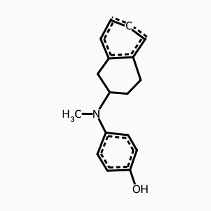 CN(c1ccc(O)cc1)C1CCc2ccccc2C1